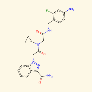 NC(=O)c1nn(CC(=O)N(CC(=O)NCc2ccc(N)cc2F)C2CC2)c2ccccc12